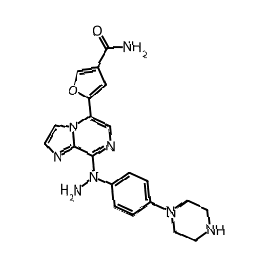 NC(=O)c1coc(-c2cnc(N(N)c3ccc(N4CCNCC4)cc3)c3nccn23)c1